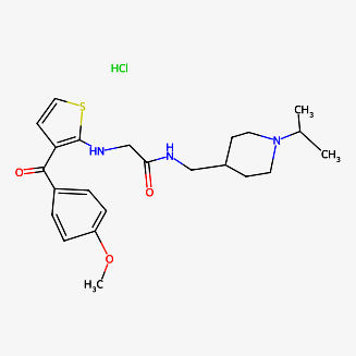 COc1ccc(C(=O)c2ccsc2NCC(=O)NCC2CCN(C(C)C)CC2)cc1.Cl